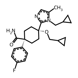 Cc1cnc([C@]2(OCC3CC3)CC[C@@](C(N)=O)(c3ccc(F)cc3)CC2)n1CC1CC1